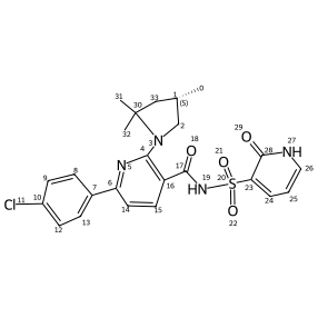 C[C@@H]1CN(c2nc(-c3ccc(Cl)cc3)ccc2C(=O)NS(=O)(=O)c2ccc[nH]c2=O)C(C)(C)C1